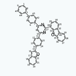 c1ccc(-c2ccc(-c3cc(-c4ccc(-c5cc6ccccc6o5)cc4)nc(-c4cccc5c4oc4ccccc45)n3)cc2)cc1